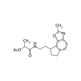 CC(=O)OC(C)C(=O)NCCC1CCc2ccc3nc(C)oc3c21